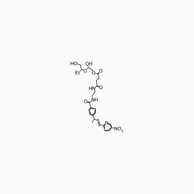 CCC(CO)OC(O)COC(=O)CCC(=O)NCCNC(=O)c1ccc(C(C)SSc2ccc([N+](=O)[O-])cn2)cc1